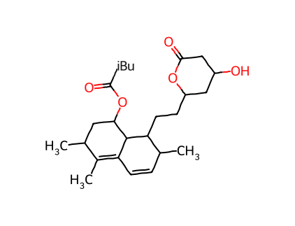 CCC(C)C(=O)OC1CC(C)C(C)=C2C=CC(C)C(CCC3CC(O)CC(=O)O3)C21